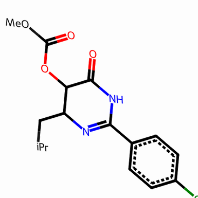 COC(=O)OC1C(=O)NC(c2ccc(Cl)cc2)=NC1CC(C)C